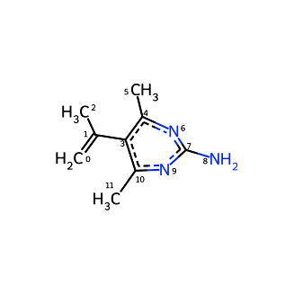 C=C(C)c1c(C)nc(N)nc1C